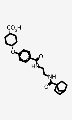 O=C(NCCNC(=O)C12CCC(CC1)C2)c1ccc(O[C@H]2CC[C@@H](C(=O)O)CC2)cc1